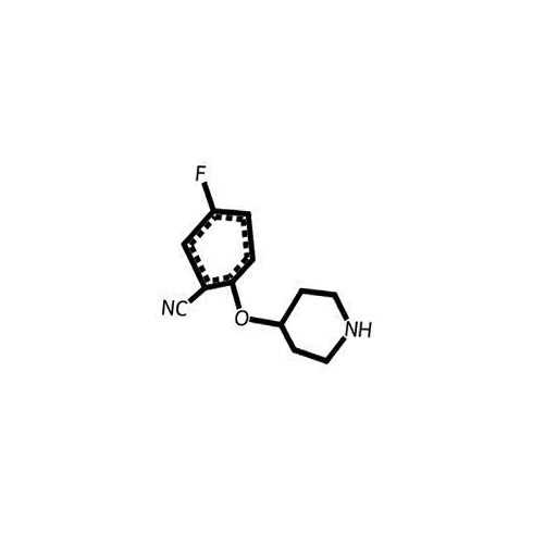 N#Cc1cc(F)ccc1OC1CCNCC1